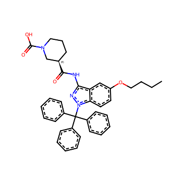 CCCCOc1ccc2c(c1)c(NC(=O)[C@@H]1CCCN(C(=O)O)C1)nn2C(c1ccccc1)(c1ccccc1)c1ccccc1